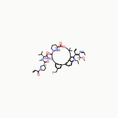 C=CC(=O)N1CC[C@H](C(=O)N(C)[C@H](C(=O)N[C@H]2Cc3cc(CF)cc(c3)-c3ccc4c(c3)c(c(/C(C=C)=C(/N=C\C)[C@H](C)OC)n4CC)CC(C)(C)COC(=O)[C@@]3(O)CCCN(N3)C2=O)C(C)C)C1